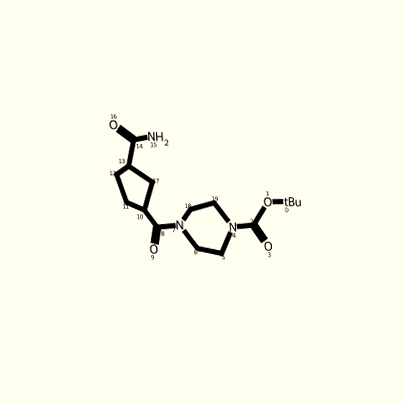 CC(C)(C)OC(=O)N1CCN(C(=O)C2CCC(C(N)=O)C2)CC1